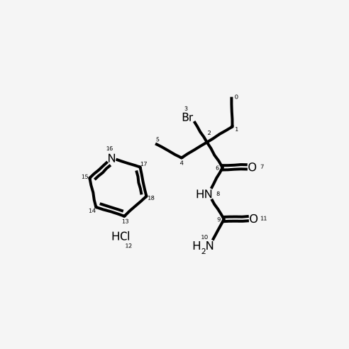 CCC(Br)(CC)C(=O)NC(N)=O.Cl.c1ccncc1